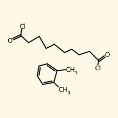 Cc1ccccc1C.O=C(Cl)CCCCCCCCC(=O)Cl